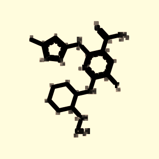 Cc1cc(Nc2nc(NC3CCCCC3NC(=O)O)c(F)cc2C(N)=O)on1